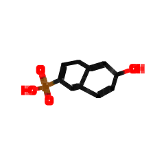 O=S(=O)(O)C1=CCC2=CC(O)C=CC2=C1